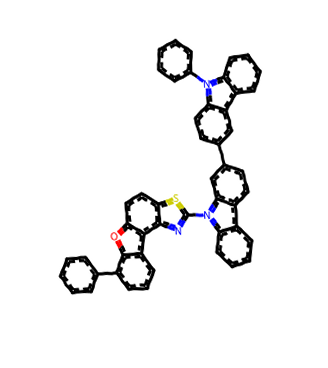 c1ccc(-c2cccc3c2oc2ccc4sc(-n5c6ccccc6c6ccc(-c7ccc8c(c7)c7ccccc7n8-c7ccccc7)cc65)nc4c23)cc1